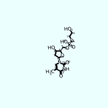 Cc1cn([C@H]2CC(O)[C@@H](COP(=O)(O)OCCO)O2)c(=O)[nH]c1=O